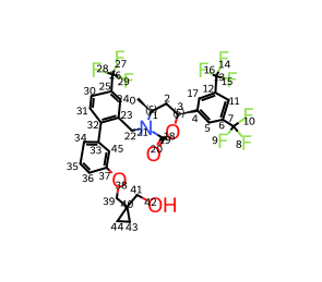 C[C@H]1C[C@@H](c2cc(C(F)(F)F)cc(C(F)(F)F)c2)OC(=O)N1Cc1cc(C(F)(F)F)ccc1-c1cccc(OCC2(CO)CC2)c1